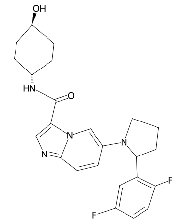 O=C(N[C@H]1CC[C@H](O)CC1)c1cnc2ccc(N3CCCC3c3cc(F)ccc3F)cn12